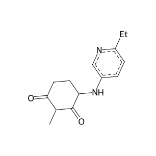 CCc1ccc(NC2CCC(=O)C(C)C2=O)cn1